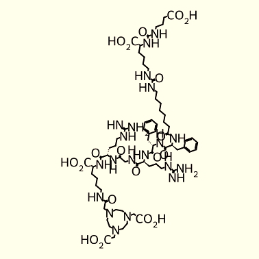 N=C(N)NCCC[C@H](NC(=O)CNC(=O)[C@H](CCCNC(=N)N)NC(=O)[C@H](Cc1ccccc1)NC(=O)[C@H](Cc1ccccc1)NC(=O)CCCCCCCNC(=O)NCCCC[C@H](NC(=O)NCCCC(=O)O)C(=O)O)C(=O)N[C@@H](CCCCNC(=O)CN1CCN(CC(=O)O)CCN(CC(=O)O)CC1)C(=O)O